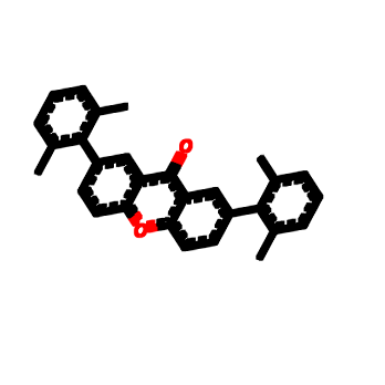 Cc1cccc(C)c1-c1ccc2oc3ccc(-c4c(C)cccc4C)cc3c(=O)c2c1